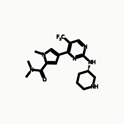 CN(C)C(=O)c1cc(-c2nc(N[C@H]3CCCNC3)ncc2C(F)(F)F)cn1C